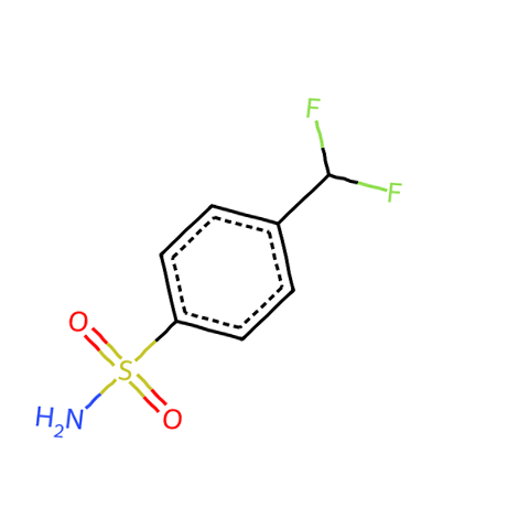 NS(=O)(=O)c1ccc(C(F)F)cc1